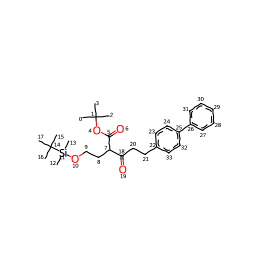 CC(C)(C)OC(=O)C(CCO[Si](C)(C)C(C)(C)C)C(=O)CCc1ccc(-c2ccccc2)cc1